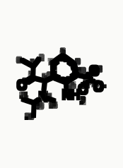 CC(C)C(=O)C(c1cccc(S([O])(=O)=O)c1N)N(C)C(C)C